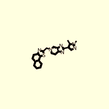 Cc1c(-c2nc3ccn(Cc4nc5ccc6ccccc6c5s4)cc-3n2)cnn1C